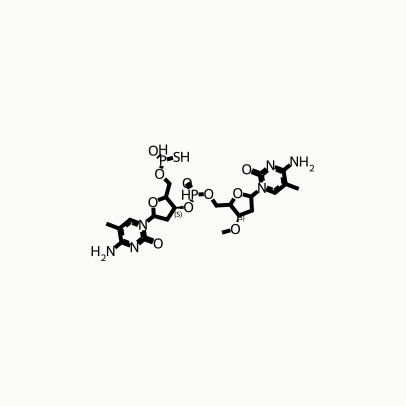 CO[C@H]1CC(n2cc(C)c(N)nc2=O)OC1CO[PH](=O)O[C@H]1CC(n2cc(C)c(N)nc2=O)OC1CO[PH](=O)S